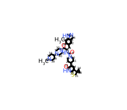 Cc1cc(C[C@@H](NC(=O)N2CCC(c3cc4c([nH]c3=O)SCC43CC3)CC2)C(=O)N2CCN(C3CCN(C)CC3)CC2)cc2cn[nH]c12